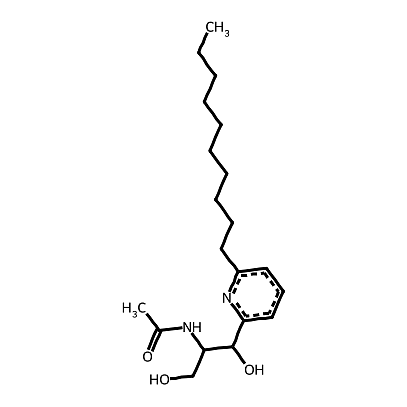 CCCCCCCCCCc1cccc(C(O)C(CO)NC(C)=O)n1